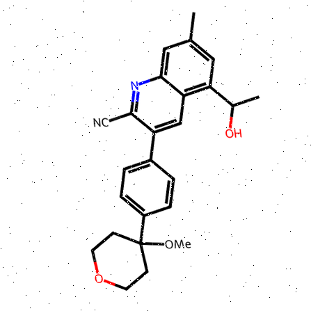 COC1(c2ccc(-c3cc4c(C(C)O)cc(C)cc4nc3C#N)cc2)CCOCC1